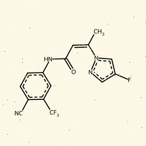 C/C(=C/C(=O)Nc1ccc(C#N)c(C(F)(F)F)c1)n1cc(F)cn1